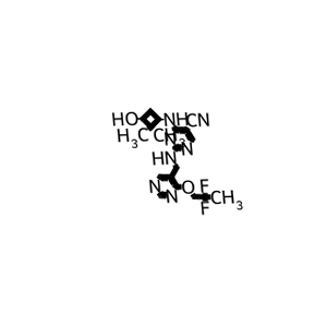 CC(F)(F)COc1ncncc1CNc1ncc(C#N)c(N[C@H]2C[C@@H](O)C2(C)C)n1